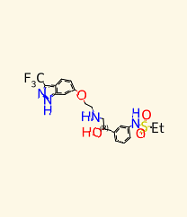 CCS(=O)(=O)Nc1cccc([C@@H](O)CNCCOc2ccc3c(C(F)(F)F)n[nH]c3c2)c1